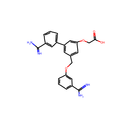 N=C(N)c1cccc(OCc2cc(OCC(=O)O)cc(-c3cccc(C(=N)N)c3)c2)c1